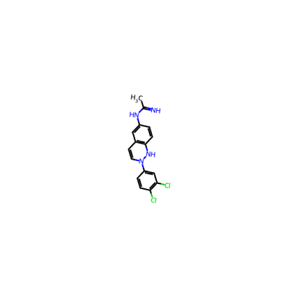 CC(=N)Nc1ccc2c(c1)C=CN(c1ccc(Cl)c(Cl)c1)N2